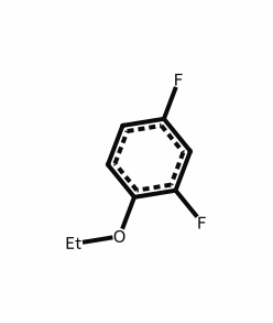 [CH2]COc1ccc(F)cc1F